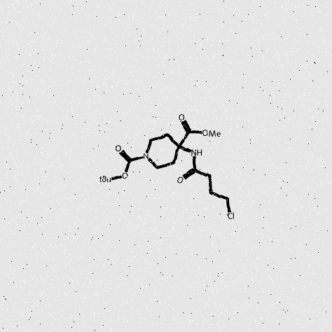 COC(=O)C1(NC(=O)CCCCl)CCN(C(=O)OC(C)(C)C)CC1